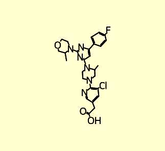 CC1CN(c2ncc(CC(=O)O)cc2Cl)CCN1c1cc(-c2ccc(F)cc2)nc(N2CCOCC2C)n1